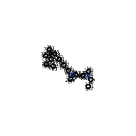 c1ccc(-c2cccc(-n3c4ccccc4c4cc(-c5ccc6c(c5)c5ccccc5n6-c5ccc(-c6ccc(-c7ccc(-c8cccc(C9(c%10cccc(-c%11ccccc%11-c%11ccccc%11)c%10)c%10ccccc%10-c%10ccccc%109)c8)cc7)cc6)cc5)ccc43)c2)cc1